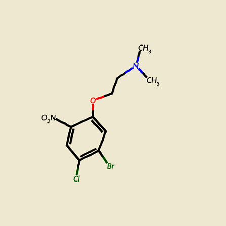 CN(C)CCOc1cc(Br)c(Cl)cc1[N+](=O)[O-]